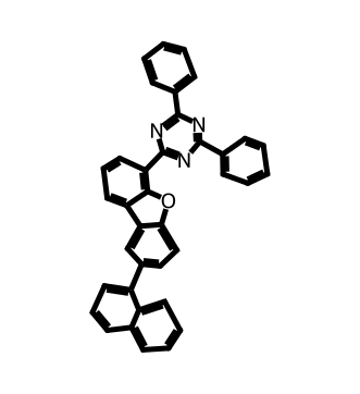 c1ccc(-c2nc(-c3ccccc3)nc(-c3cccc4c3oc3ccc(-c5cccc6ccccc56)cc34)n2)cc1